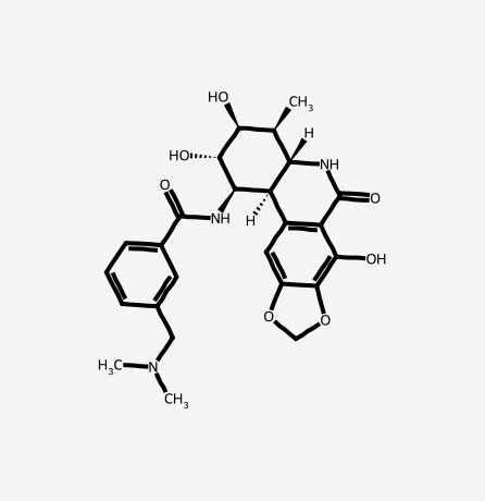 C[C@@H]1[C@H](O)[C@@H](O)[C@H](NC(=O)c2cccc(CN(C)C)c2)[C@@H]2c3cc4c(c(O)c3C(=O)N[C@@H]12)OCO4